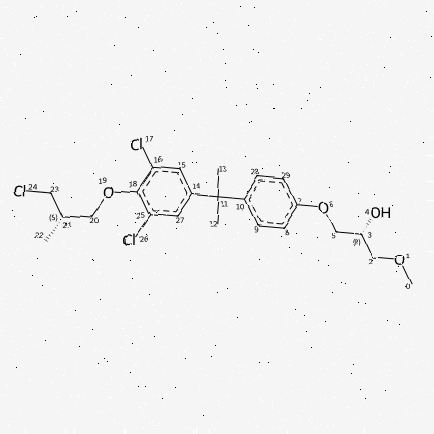 COC[C@@H](O)COc1ccc(C(C)(C)c2cc(Cl)c(OC[C@H](C)CCl)c(Cl)c2)cc1